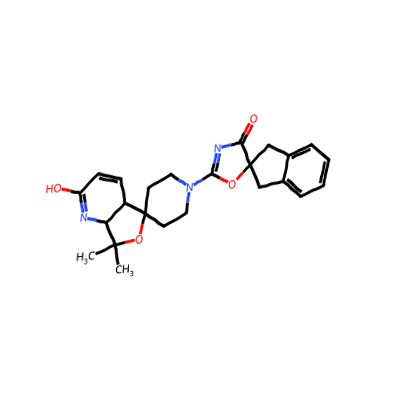 CC1(C)OC2(CCN(C3=NC(=O)C4(Cc5ccccc5C4)O3)CC2)C2C=CC(O)=NC21